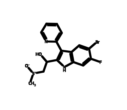 C[S+]([O-])CC(O)c1[nH]c2cc(F)c(Br)cc2c1-c1ccccn1